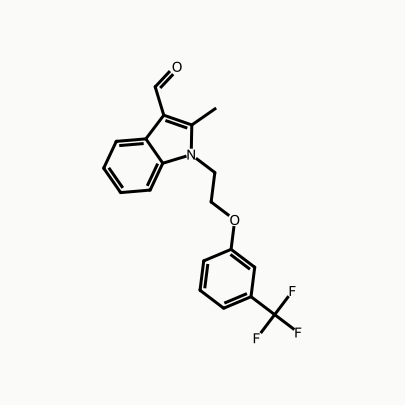 Cc1c(C=O)c2ccccc2n1CCOc1cccc(C(F)(F)F)c1